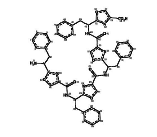 NC(Cc1ccccc1)c1nc(C(=O)NC(Cc2ccccc2)c2nc(C(=O)NC(Cc3ccccc3)c3nc(C(=O)NC(Cc4ccccc4)c4nc(C(=O)O)co4)co3)co2)co1